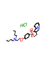 CCCCN(CCCC)CCOc1ccc(S(=O)(=O)c2c(CC)cn3ccccc23)cc1.Cl